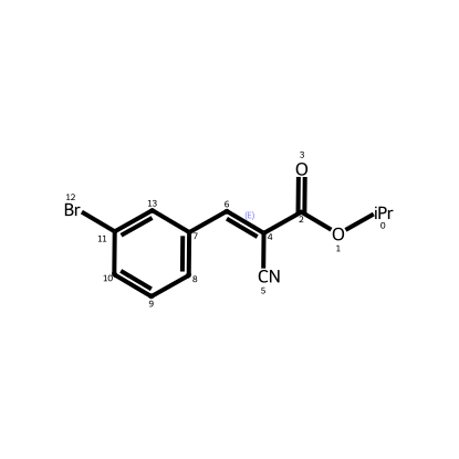 CC(C)OC(=O)/C(C#N)=C/c1cccc(Br)c1